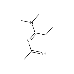 CC/C(=N\C(C)=N)N(C)C